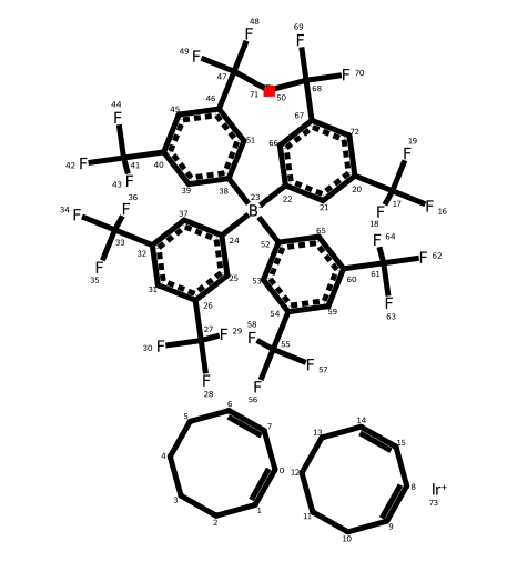 C1=CCCCCC=C1.C1=CCCCCC=C1.FC(F)(F)c1cc([B-](c2cc(C(F)(F)F)cc(C(F)(F)F)c2)(c2cc(C(F)(F)F)cc(C(F)(F)F)c2)c2cc(C(F)(F)F)cc(C(F)(F)F)c2)cc(C(F)(F)F)c1.[Ir+]